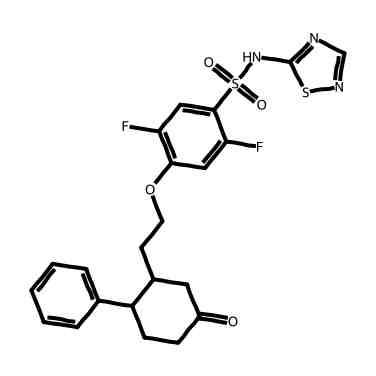 O=C1CCC(c2ccccc2)C(CCOc2cc(F)c(S(=O)(=O)Nc3ncns3)cc2F)C1